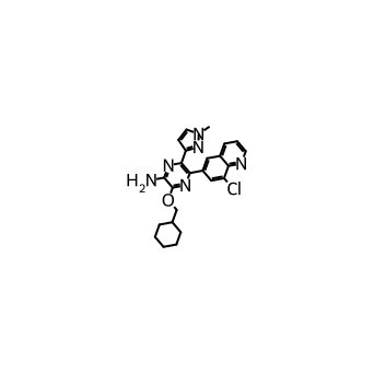 Cn1ccc(-c2nc(N)c(OCC3CCCCC3)nc2-c2cc(Cl)c3ncccc3c2)n1